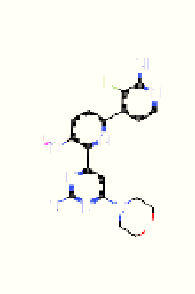 Nc1nc(-c2nc(-c3ccnc(N)c3F)ccc2N=O)cc(N2CCOCC2)n1